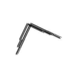 O.O.O.O.O.O.O.O.O.O.O.O.O.O.O.O.O.O.O.O.O.O.O.O.O.O.O.O.O.O.O.O.O.O.[K+].[K+].[K+].[K+].[K+].[K+].[K+].[K+].[K+].[K+].[K+].[K+].[K+].[K+].[K+].[K+].[OH-].[OH-].[OH-].[OH-].[OH-].[OH-].[OH-].[OH-].[OH-].[OH-].[OH-].[OH-].[OH-].[OH-].[OH-].[OH-]